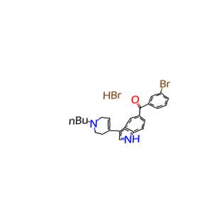 Br.CCCCN1CC=C(c2c[nH]c3ccc(C(=O)c4cccc(Br)c4)cc23)CC1